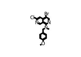 COc1ccc(CN(C)c2ncc(Br)c3cc(Cl)ncc23)cc1